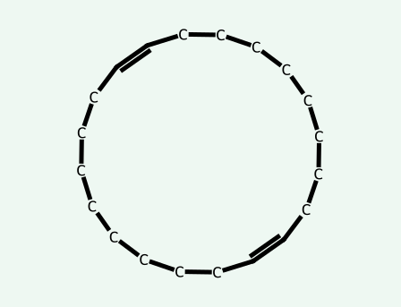 C1=CCCCCCCCCC=CCCCCCCCC1